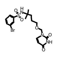 CC(C)(CCCOCn1ccc(=O)[nH]c1=O)NS(=O)(=O)c1cccc(Br)c1